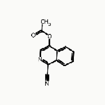 CC(=O)Oc1cnc(C#N)c2ccccc12